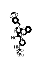 CC(C)(C)OC(=O)N[C@H]1CCCN(c2c(C#N)c3ncn(Cc4ccc5c(c4)OCCO5)c(=O)c3n2Cc2ccccc2)C1